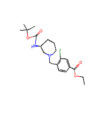 CCOC(=O)c1ccc(CN2CCC[C@H](NC(=O)OC(C)(C)C)C2)c(F)c1